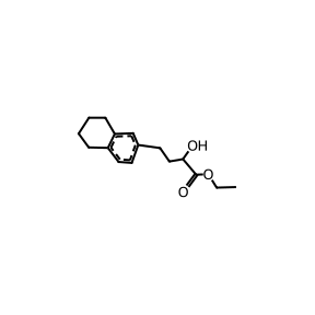 CCOC(=O)C(O)CCc1ccc2c(c1)CCCC2